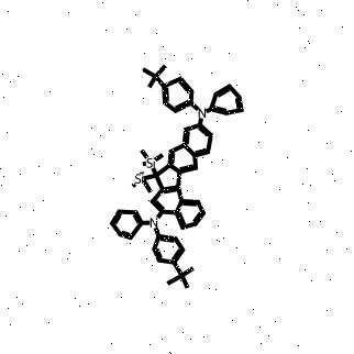 CC(C)(C)c1ccc(N(c2ccccc2)c2ccc3cc4c(cc3c2)C([Si](C)(C)C)([Si](C)(C)C)c2cc(N(c3ccccc3)c3ccc(C(C)(C)C)cc3)c3ccccc3c2-4)cc1